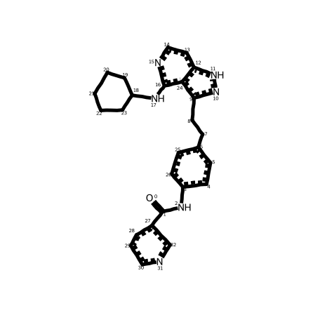 O=C(Nc1ccc(CCc2n[nH]c3ccnc(NC4CCCCC4)c23)cc1)c1cccnc1